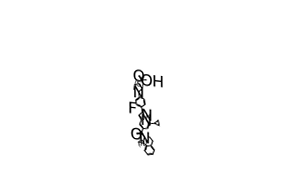 C[C@@H]1c2ccccc2CCN1C(=O)c1cc(C2CC2)n2nc(-c3ccc(N4CC[C@H](C(=O)O)C4)cc3F)cc2c1